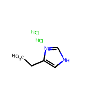 Cl.Cl.O=C(O)Cc1c[nH]cn1